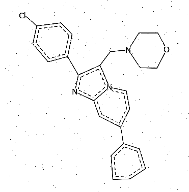 Clc1ccc(-c2nc3cc(-c4ccccc4)ccn3c2CN2CCOCC2)cc1